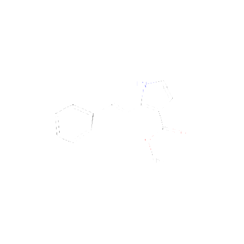 CC(C)(C)OC(=O)c1cc[nH]c1C=Cc1ccccc1